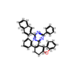 c1ccc(C2=C(c3nc(-c4ccccc4)nc(-c4ccc5ccccc5c4)n3)c3c(oc4ccccc34)CC2)cc1